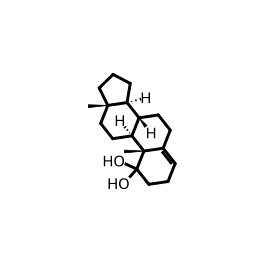 C[C@@]12CCC[C@H]1[C@@H]1CCC3=CCCC(O)(O)[C@]3(C)[C@H]1CC2